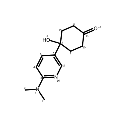 CN(C)c1ccc(C2(O)CCC(=O)CC2)cn1